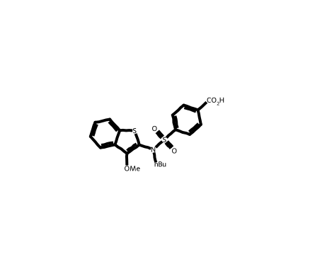 CCCCN(c1sc2ccccc2c1OC)S(=O)(=O)c1ccc(C(=O)O)cc1